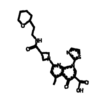 Cc1cc(N2CC(C(=O)NCCC3CCCCO3)C2)nc2c1c(=O)c(C(=O)O)cn2-c1nccs1